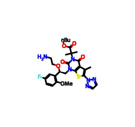 CCCCOC(=O)C(C)(C)n1c(=O)c2c(C)c(-n3nccn3)sc2n(C[C@H](OCCN)c2cc(F)ccc2OC)c1=O